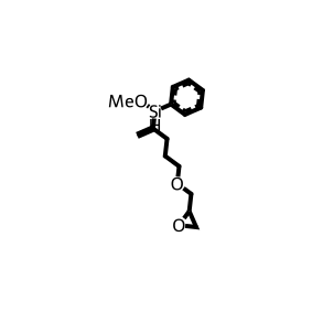 C=C(CCCOCC1CO1)[SiH](OC)c1ccccc1